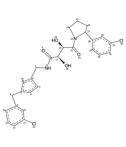 O=C(NCc1ccc(Cc2cccc(Cl)c2)s1)[C@H](O)[C@@H](O)C(=O)N1CCCC1c1cccc(Cl)c1